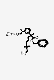 CCOC(=O)CC(C)c1cccc(C(C)(CCCC(C)(C)CO)C(=O)OCc2ccccc2)c1